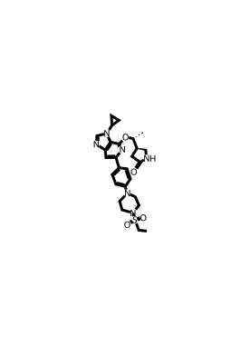 CCS(=O)(=O)N1CCN(c2ccc(-c3cc4ncn(C5CC5)c4c(O[C@H](C)[C@H]4CNC(=O)C4)n3)cc2)CC1